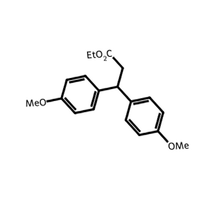 CCOC(=O)CC(c1ccc(OC)cc1)c1ccc(OC)cc1